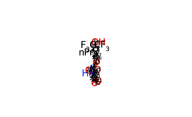 CCCc1cc(C(O)(C(F)(F)F)C(F)(F)F)ccc1-c1ccc(OCCCN2C(=O)NC(C)(c3ccc4c(c3)OCO4)C2=O)cc1